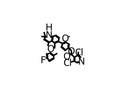 COc1cc(OC(=O)c2c(Cl)cncc2Cl)ccc1-c1ccc2c(c1COc1cc(F)ccc1C)C(C)=CC(C)(C)N2